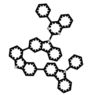 c1ccc(-c2nc(-n3c4ccccc4c4cc(-c5cccc6oc7ccc(-c8ccc9c(c8)c8ccccc8n9-c8ccccc8)cc7c56)ccc43)nc3ccccc23)cc1